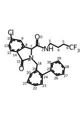 O=C(NCCCC(F)(F)F)C1c2cc(Cl)ccc2C(=O)N1Cc1ccccc1-c1ccccc1